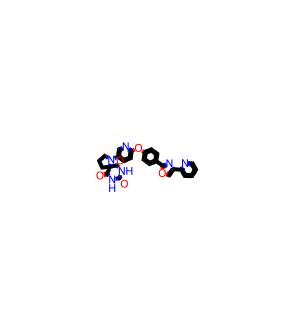 O=C1NC(=O)C2(CCCN2c2ccc(Oc3ccc(-c4nc(-c5ccccn5)co4)cc3)nc2)C(=O)N1